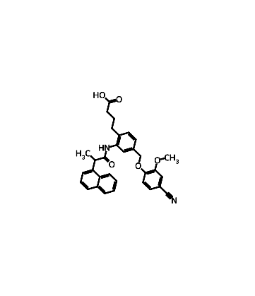 COc1cc(C#N)ccc1OCc1ccc(CCCC(=O)O)c(NC(=O)C(C)c2cccc3ccccc23)c1